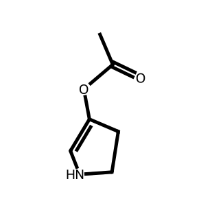 CC(=O)OC1=CNCC1